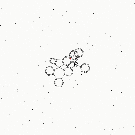 c1ccc(N(c2ccccc2)c2ccc3c(c2)C2(c4ccccc4-c4ccccc4-3)c3ccccc3-c3cc4c(cc32)sc2ccccc24)cc1